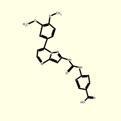 COc1ccc(-c2ccnc3cc(NC(=O)Nc4ccc(C(=O)O)cc4)nn23)cc1OC